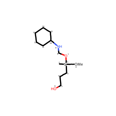 CO[Si](C)(CCCO)OCNC1CCCCC1